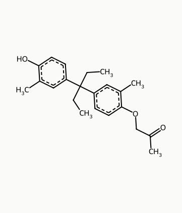 CCC(CC)(c1ccc(O)c(C)c1)c1ccc(OCC(C)=O)c(C)c1